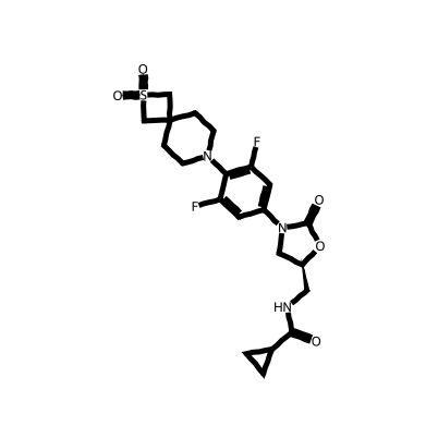 O=C(NC[C@H]1CN(c2cc(F)c(N3CCC4(CC3)CS(=O)(=O)C4)c(F)c2)C(=O)O1)C1CC1